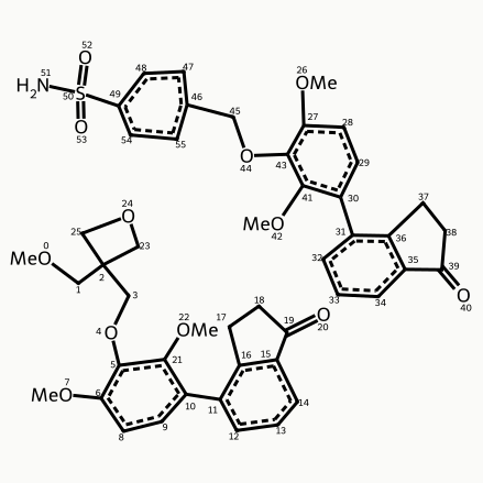 COCC1(COc2c(OC)ccc(-c3cccc4c3CCC4=O)c2OC)COC1.COc1ccc(-c2cccc3c2CCC3=O)c(OC)c1OCc1ccc(S(N)(=O)=O)cc1